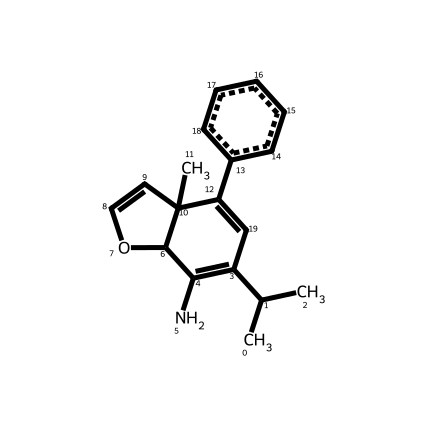 CC(C)C1=C(N)C2OC=CC2(C)C(c2ccccc2)=C1